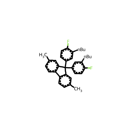 CCCCc1cc(C2(c3ccc(F)c(CCCC)c3)c3cc(C)ccc3-c3ccc(C)cc32)ccc1F